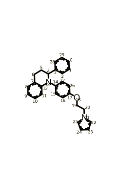 c1ccc(C2CCc3ccccc3N2c2ccc(OCCn3cccc3)cc2)cc1